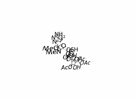 CN[C@@H]1[C@@H](COP(=O)(S)OP(=O)(O)OC2OC3(OC(C)=O)C2C(OC(C)=O)C(O)C3[C@@H](F)COC(C)=O)O[C@@H](c2coc3c(N)ncnc23)[C@]1(C)OC